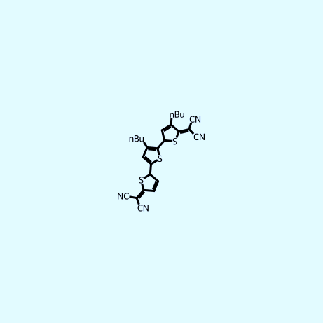 CCCCC1=CC(c2sc(C3C=CC(=C(C#N)C#N)S3)cc2CCCC)SC1=C(C#N)C#N